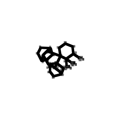 CC1C2CCC(CC2)C1C1(C2CC3CCC2CC3)CCCC(C)C1(C)C